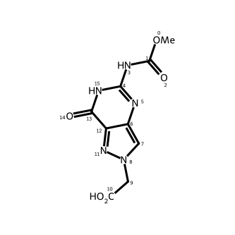 COC(=O)Nc1nc2cn(CC(=O)O)nc2c(=O)[nH]1